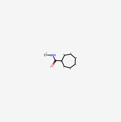 [CH2]CNC(=O)C1CCCCCC1